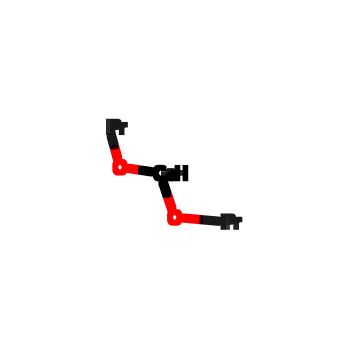 CC(C)[O][GaH][O]C(C)C